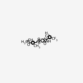 Cc1cc(C(=O)N(C)C)ccc1CCS(=O)(=O)N1CCC2(CC1)N=C(c1cc(C(F)(F)F)ccc1C)NC2=O